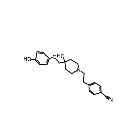 N#Cc1ccc(CCN2CCC(O)(COc3ccc(O)cc3)CC2)cc1